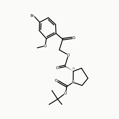 COc1cc(Br)ccc1C(=O)COC(=O)[C@@H]1CCCN1C(=O)OC(C)(C)C